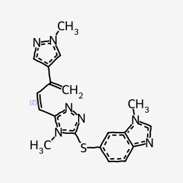 C=C(/C=C\c1nnc(Sc2ccc3ncn(C)c3c2)n1C)c1cnn(C)c1